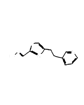 O/N=C/c1nc(CCc2cccnc2)cs1